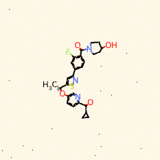 C[C@@H](Oc1ccc(C(=O)C2CC2)nc1)c1cc(-c2ccc(C(=O)N3CCC(O)CC3)c(F)c2)ns1